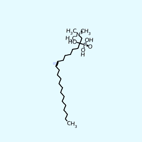 CCCCCCCCCCCCC/C=C\CCCCCC(O)(C[N+](C)(C)C)P(=O)(O)O